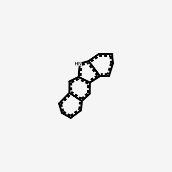 [c]1c2ccccc2cc2c1[nH]c1ccccc12